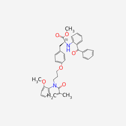 C=C(C)C(=O)N(CCCOc1ccc(C[C@H](Nc2ccccc2C(=O)c2ccccc2)C(=O)OC)cc1)c1ccccc1OC